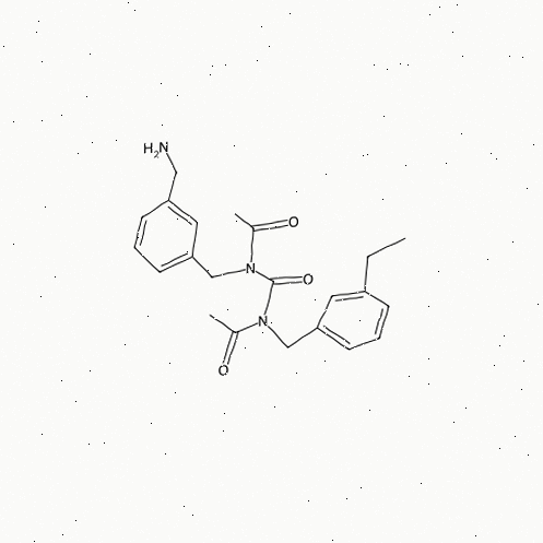 CCc1cccc(CN(C(C)=O)C(=O)N(Cc2cccc(CN)c2)C(C)=O)c1